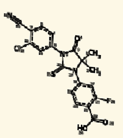 CC1(C)C(=O)N(c2ccc(C#N)c(Cl)c2)C(=S)N1c1ccc(C(=O)O)c(F)c1